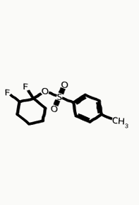 Cc1ccc(S(=O)(=O)OC2(F)CCCCC2F)cc1